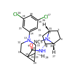 N#CN1[C@H]2CC[C@@H]1[C@H](NC(=O)C13CCN(c4cc(Cl)cc(Cl)c4)C[C@H]1C3)C2